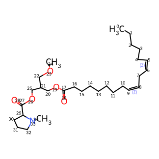 CCCCC/C=C\C/C=C\CCCCCCCC(=O)OCC(COC)COC(=O)C1CCCN1C